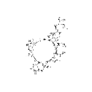 CC(Cc1cccc(C2(CN)CCCC(C)(C)CS(=O)(=O)CCc3c(c(F)cc4[nH]ccc34)Oc3ccc(F)c(c3)-c3nc2nn3C)c1)C(=O)O